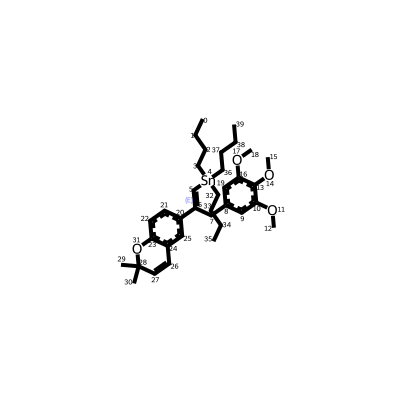 CCC[CH2][Sn](/[CH]=C(\Cc1cc(OC)c(OC)c(OC)c1)c1ccc2c(c1)C=CC(C)(C)O2)([CH2]CCC)[CH2]CCC